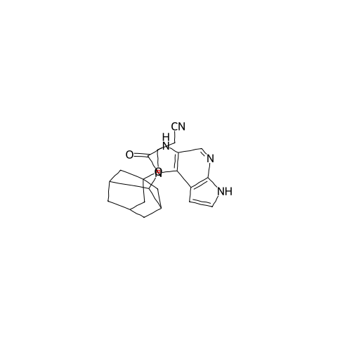 N#CCCOC12CC3CC(C1)C(n1c(=O)[nH]c4cnc5[nH]ccc5c41)C(C3)C2